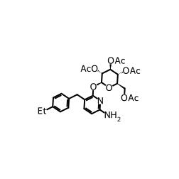 CCc1ccc(Cc2ccc(N)nc2O[C@@H]2O[C@H](COC(C)=O)[C@@H](OC(C)=O)[C@H](OC(C)=O)[C@H]2OC(C)=O)cc1